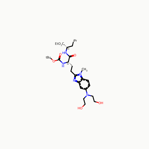 CCOC(=O)[C@H](CC(C)C)NC(=O)[C@H](CCc1nc2cc(N(CCO)CCO)ccc2n1C)NC(=O)OC(C)(C)C